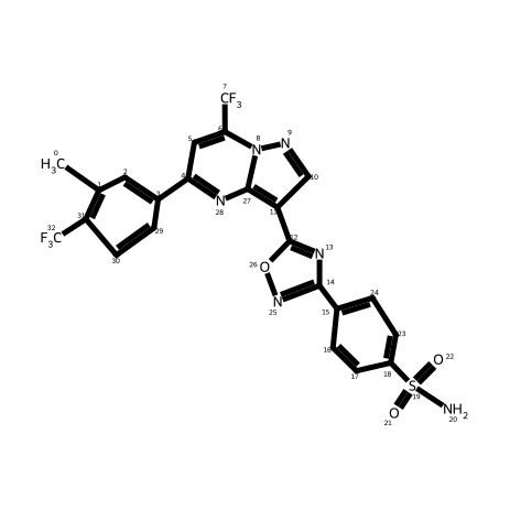 Cc1cc(-c2cc(C(F)(F)F)n3ncc(-c4nc(-c5ccc(S(N)(=O)=O)cc5)no4)c3n2)ccc1C(F)(F)F